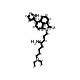 CCN(CC)CCCCC(N)CCCN1C(=O)c2cccc3c(-c4ccn[nH]4)ccc1c23